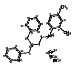 Cc1ccc(NCCN(Cc2ccccn2)Cc2ccccn2)c(C)c1.[Br-].[Br-].[Fe+2]